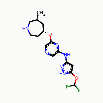 C[C@@H]1CNCC[C@@H](Oc2cncc(Nc3cc(OC(F)F)[nH]n3)n2)C1